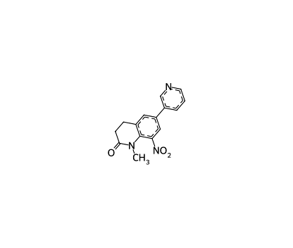 CN1C(=O)CCc2cc(-c3cccnc3)cc([N+](=O)[O-])c21